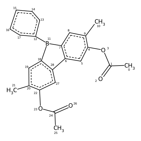 CC(=O)Oc1cc2c(cc1C)B(c1ccccc1)c1cc(C)c(OC(C)=O)cc1-2